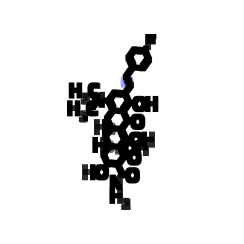 CN(C)c1cc(/C=C/c2ccc(F)cc2)c(O)c2c1C[C@H]1C[C@H]3CC(O)=C(C(N)=O)C(=O)[C@@]3(O)C(O)=C1C2=O